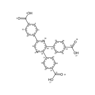 O=C(O)c1ccc(-c2cnc(-c3ccc(C(=O)O)cc3)c(-c3ccc(C(=O)O)cc3)n2)cc1